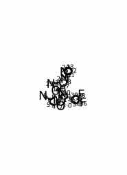 C[C@H](Oc1ccc(C#N)cn1)[C@H]1CN(C(=O)C2CCN(c3ccccn3)CC2C#N)C[C@@H]1c1ccc(F)c(F)c1